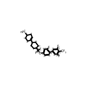 CCCC1CC=C(C2CCC(C(F)(F)Oc3ccc(-c4cc(F)c(C(F)(F)F)c(F)c4)c(F)c3)CC2)CC1